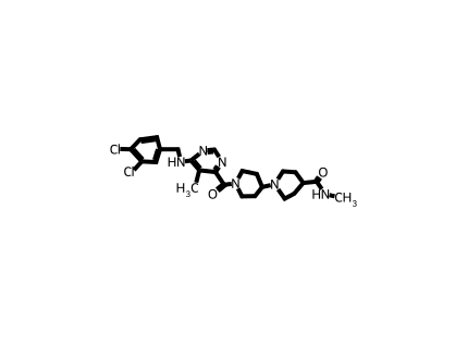 CNC(=O)C1CCN(C2CCN(C(=O)c3ncnc(NCc4ccc(Cl)c(Cl)c4)c3C)CC2)CC1